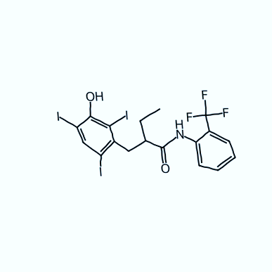 CCC(Cc1c(I)cc(I)c(O)c1I)C(=O)Nc1ccccc1C(F)(F)F